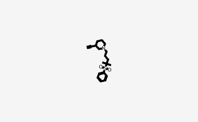 C#CC1CCCN(CCCC(C)(C)S(=O)(=O)c2ccccc2)C1